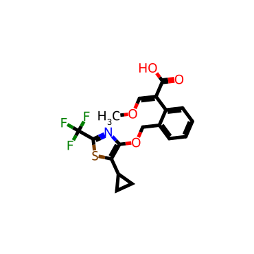 CO/C=C(/C(=O)O)c1ccccc1COc1nc(C(F)(F)F)sc1C1CC1